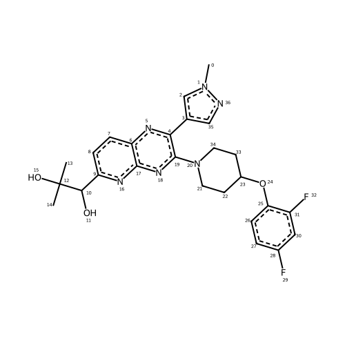 Cn1cc(-c2nc3ccc(C(O)C(C)(C)O)nc3nc2N2CCC(Oc3ccc(F)cc3F)CC2)cn1